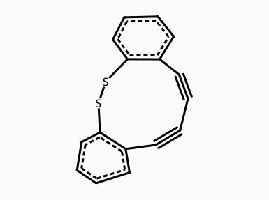 C1#Cc2ccccc2SSc2ccccc2C#C1